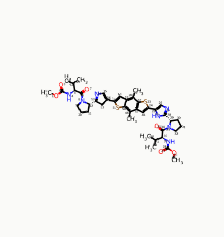 COC(=O)N[C@H](C(=O)N1CCC[C@H]1C1=NC=C(c2cc3c(C)c4sc(-c5cnc([C@@H]6CCCN6C(=O)[C@@H](NC(=O)OC)C(C)C)[nH]5)cc4c(C)c3s2)C1)C(C)C